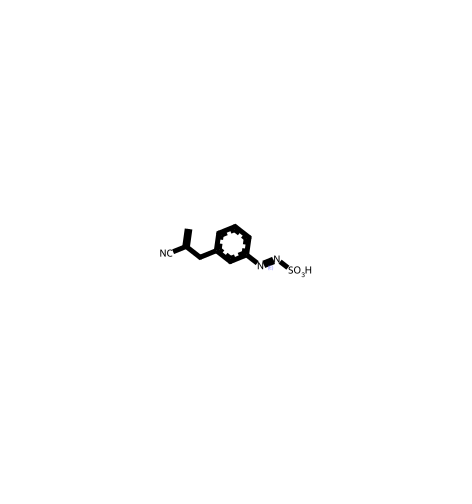 C=C(C#N)Cc1cccc(/N=N/S(=O)(=O)O)c1